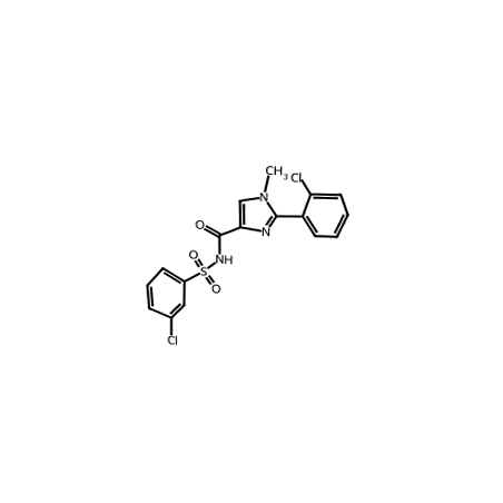 Cn1cc(C(=O)NS(=O)(=O)c2cccc(Cl)c2)nc1-c1ccccc1Cl